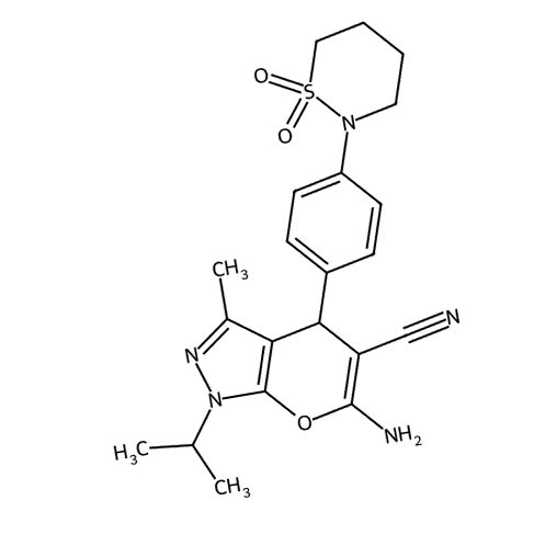 Cc1nn(C(C)C)c2c1C(c1ccc(N3CCCCS3(=O)=O)cc1)C(C#N)=C(N)O2